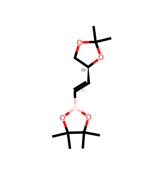 CC1(C)OC[C@H](/C=C/B2OC(C)(C)C(C)(C)O2)O1